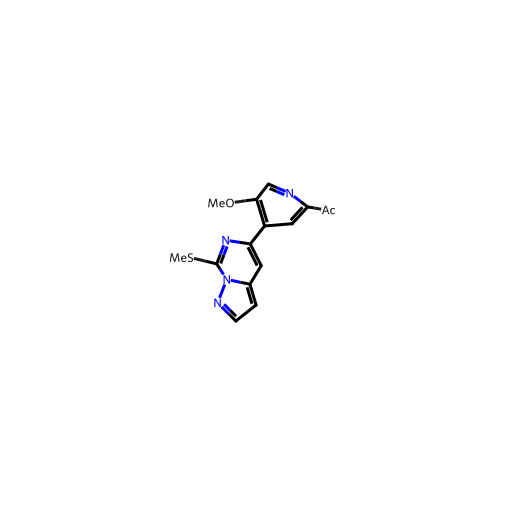 COc1cnc(C(C)=O)cc1-c1cc2ccnn2c(SC)n1